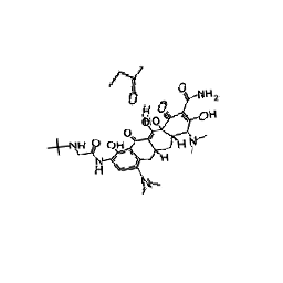 CCC(C)=O.CN(C)c1cc(NC(=O)CNC(C)(C)C)c(O)c2c1C[C@H]1C[C@H]3[C@H](N(C)C)C(O)=C(C(N)=O)C(=O)[C@@]3(O)C(O)=C1C2=O